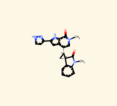 CN1C(=O)[C@@]2(C[C@@H]2c2cn(C)c(=O)c3[nH]c(-c4cc[nH]n4)cc23)c2ccccc21